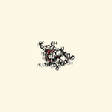 CC(C)C[C@H](C(=O)N[C@H]1C(=O)N[C@@H](CC(N)=O)C(=O)N[C@H]2C(=O)N[C@H]3C(=O)N[C@H](C(=O)N[C@H](C(=O)NC4C5CC6CC(C5)CC4C6)c4cc(O)cc(O)c4-c4cc3ccc4O)[C@H](O)c3ccc(c(Cl)c3)Oc3cc2cc(c3O[C@@H]2O[C@H](CO)[C@@H](O)[C@H](O)[C@H]2O[C@H]2C[C@](C)(NC(=O)OCc3ccc([N+](=O)[O-])cc3)[C@H](O)[C@H](C)O2)Oc2ccc(cc2Cl)[C@H]1O)N(C)C(=O)OCc1ccc([N+](=O)[O-])cc1